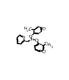 Cc1ccccc1[O][Ti](=[CH]c1ccccn1)[O]c1ccccc1C.Cl.Cl